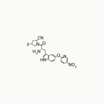 N#C[C@@H]1CC(F)CN1C(=O)[C@@H](N)Cc1c[nH]c2ccc(Oc3ccc([N+](=O)[O-])cn3)cc12